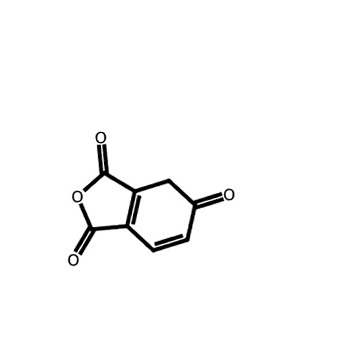 O=C1C=CC2=C(C1)C(=O)OC2=O